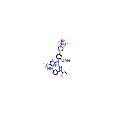 C=CC(=O)Nc1cccc(Nc2nc(Nc3ccc(N4CCN(S(N)(=O)=O)CC4)cc3OC)ncc2C(F)(F)F)c1